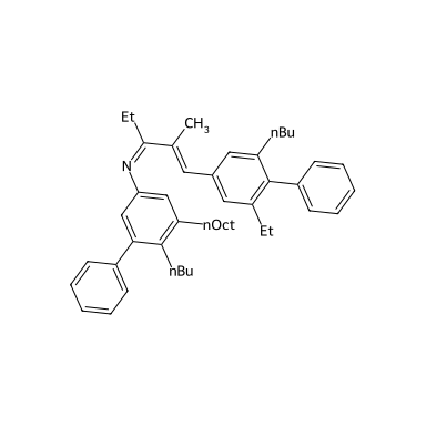 CCCCCCCCc1cc(N=C(CC)C(C)=Cc2cc(CC)c(-c3ccccc3)c(CCCC)c2)cc(-c2ccccc2)c1CCCC